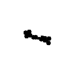 CCC1(CC)c2cc(/C=C/c3ccc4cc(-c5ccc(C(C6=CC=CCC6)(c6ccccc6)c6ccccc6)cc5)ccc4c3)ccc2-c2ccc(N(c3ccccc3)c3ccccc3)cc21